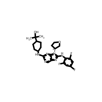 CC(C)(O)C1CCC(Nc2ncc3nc(Nc4c(F)cc(F)cc4F)n([C@@H]4CCOC4)c3n2)CC1